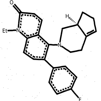 CCn1c(=O)ccc2c(N3CCC4=CCC[C@@H]4C3)c(-c3ccc(F)cc3)ccc21